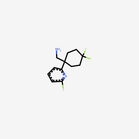 NCC1(c2cccc(F)n2)CCC(F)(F)CC1